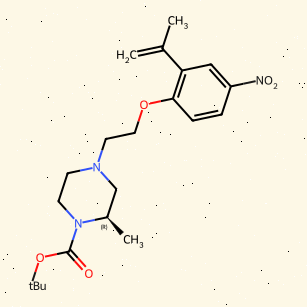 C=C(C)c1cc([N+](=O)[O-])ccc1OCCN1CCN(C(=O)OC(C)(C)C)[C@H](C)C1